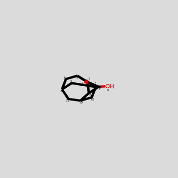 OC12CC3CC(C1)C1CC1C(C3)C2